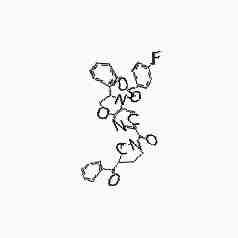 O=C(c1ccccc1)C1CCN(C(=O)c2ccc3c(n2)OCC(c2ccccc2)N3S(=O)(=O)c2ccc(F)cc2)CC1